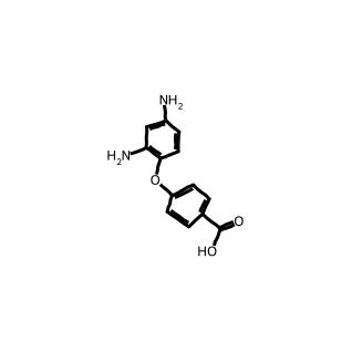 Nc1ccc(Oc2ccc(C(=O)O)cc2)c(N)c1